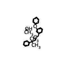 CC(C)(COCc1cccc(Oc2ccccc2)c1)c1ccccc1.CO